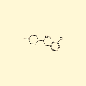 CN1CCC(C(N)Cc2cccc(Cl)c2)CC1